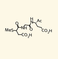 CSC(CC(=O)O)C(=O)NCC(=O)N[C@@H](CCC(=O)O)C(C)=O